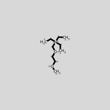 CC[N+](CC)(CC)COCCOC